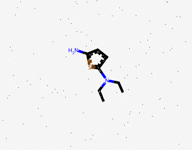 CCN(CC)c1ccc(N)s1